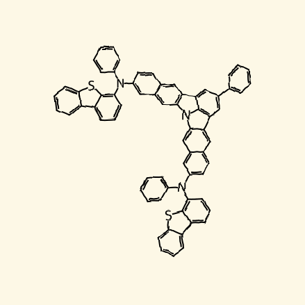 c1ccc(-c2cc3c4cc5ccc(N(c6ccccc6)c6cccc7c6sc6ccccc67)cc5cc4n4c5cc6cc(N(c7ccccc7)c7cccc8c7sc7ccccc78)ccc6cc5c(c2)c34)cc1